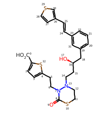 O=C(O)c1ccc(CCN2C(=O)SCCN2CC[C@@H](O)Cc2cccc(/C=C/c3ccsc3)c2)s1